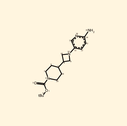 CC(C)(C)OC(=O)N1CCC(C2CN(c3ccc(N)nc3)C2)CC1